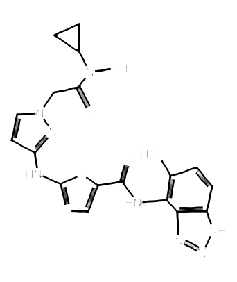 Cc1ccc2[nH]nnc2c1NC(=O)c1cnc(Nc2ccn(CC(=O)N(C)C3CC3)n2)s1